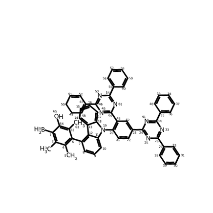 Bc1c(C)c(C)c(-c2cccc3c2c2ccccc2n3-c2ccc(-c3nc(-c4ccccc4)nc(-c4ccccc4)n3)cc2-c2nc(C3=CCCC=C3)nc(-c3ccccc3)n2)c(C)c1O